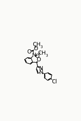 COC(=O)N(OC)c1ccccc1C(=O)c1ccn(-c2ccc(Cl)cc2)n1